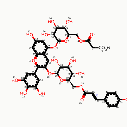 O=C(O)CC(=O)OC[C@H]1O[C@@H](Oc2cc(O)cc3[o+]c(-c4cc(O)c(O)c(O)c4)c(O[C@@H]4O[C@H](COC(=O)/C=C/c5ccc(O)cc5)[C@@H](O)[C@H](O)[C@H]4O)cc23)[C@H](O)[C@@H](O)[C@@H]1O